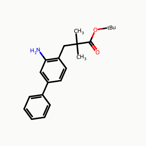 CC(C)(C)OC(=O)C(C)(C)Cc1ccc(-c2ccccc2)cc1N